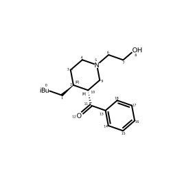 CCC(C)C[C@H]1[CH]CN(CCO)C[C@@H]1C(=O)c1ccccc1